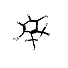 Nc1c(F)c(F)c(N)c(C(F)(F)F)c1C(F)(F)F